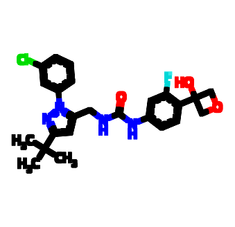 CC(C)(C)c1cc(CNC(=O)Nc2ccc(C3(O)COC3)c(F)c2)n(-c2cccc(Cl)c2)n1